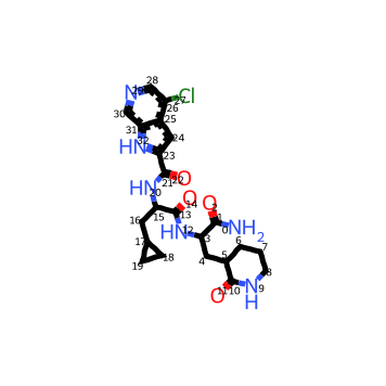 NC(=O)C(CC1CCCNC1=O)NC(=O)C(CC1CC1)NC(=O)c1cc2c(Cl)cncc2[nH]1